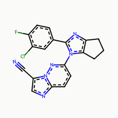 N#Cc1cnc2ccc(-n3c(-c4ccc(F)c(Cl)c4)nc4c3CCC4)nn12